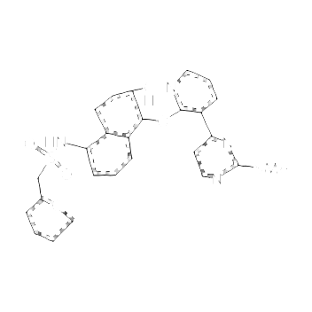 CSc1nccc(-c2cccnc2Oc2c(C)ccc3c(NS(=O)(=O)Cc4ccccc4)cccc23)n1